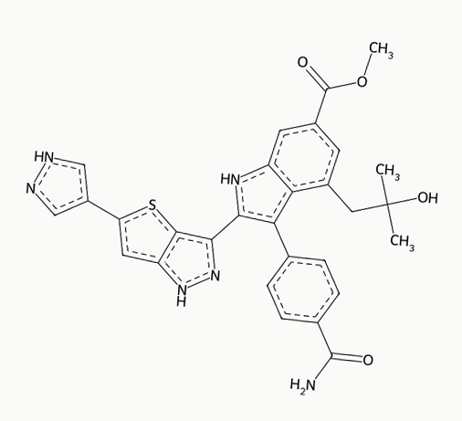 COC(=O)c1cc(CC(C)(C)O)c2c(-c3ccc(C(N)=O)cc3)c(-c3n[nH]c4cc(-c5cn[nH]c5)sc34)[nH]c2c1